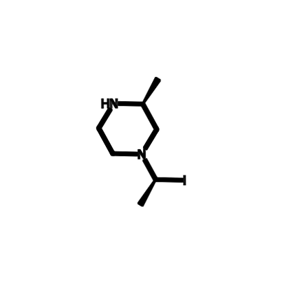 C[C@H](I)N1CCN[C@@H](C)C1